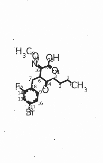 CCCCC(=O)C(Cc1ccc(Br)cc1F)C(=NOC)C(=O)O